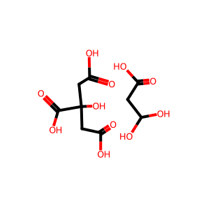 O=C(O)CC(O)(CC(=O)O)C(=O)O.O=C(O)CC(O)O